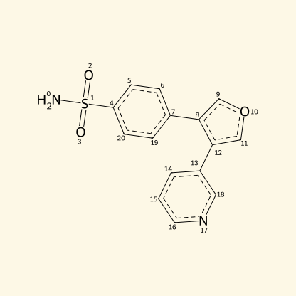 NS(=O)(=O)c1ccc(-c2cocc2-c2cccnc2)cc1